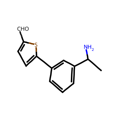 CC(N)c1cccc(-c2ccc(C=O)s2)c1